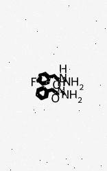 NNC(=O)Cc1ccc(F)cc1.NNC(=O)Cc1ccccc1